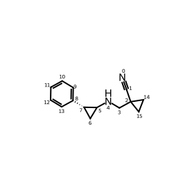 N#CC1(CNC2C[C@@H]2c2ccccc2)CC1